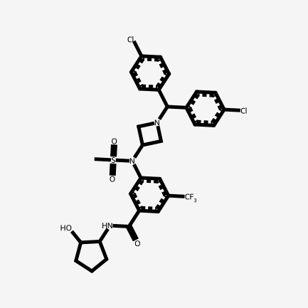 CS(=O)(=O)N(c1cc(C(=O)NC2CCCC2O)cc(C(F)(F)F)c1)C1CN(C(c2ccc(Cl)cc2)c2ccc(Cl)cc2)C1